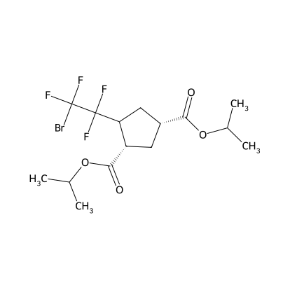 CC(C)OC(=O)[C@H]1CC(C(F)(F)C(F)(F)Br)[C@@H](C(=O)OC(C)C)C1